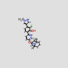 Cn1cc(-c2ccc(-c3ccc(O[C@@H]4C[C@H]5CCC[C@H](N5)[C@@H]4F)nn3)c(O)c2F)cn1